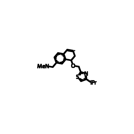 CNCc1ccc2c(c1)C(OCc1nc(C(C)C)cs1)C[C]=C2